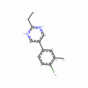 CCc1ncc(-c2ccc(F)c(C)c2)cn1